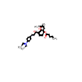 CCCCC(=O)Oc1ccc(C(=O)/C=C/c2ccc(N(CC)CC)cc2)c2c1C=CC(C)(C)O2